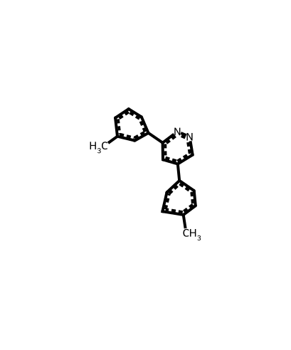 Cc1ccc(-c2cnnc(-c3cccc(C)c3)c2)cc1